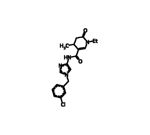 CCN1C=C(C(=O)Nc2cn(Cc3cccc(Cl)c3)cn2)C(C)CC1=O